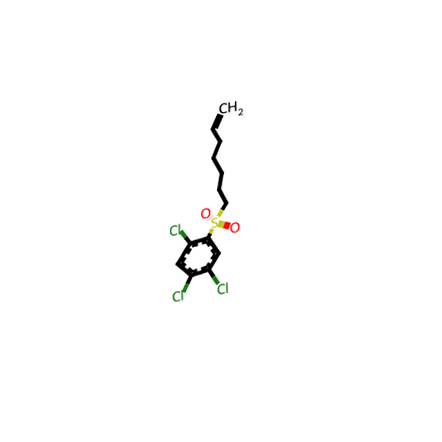 C=CCCCCCS(=O)(=O)c1cc(Cl)c(Cl)cc1Cl